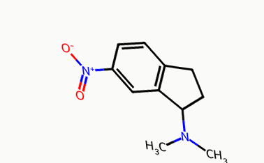 CN(C)C1CCc2ccc([N+](=O)[O-])cc21